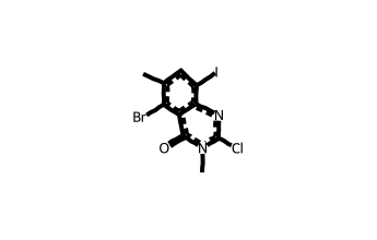 Cc1cc(I)c2nc(Cl)n(C)c(=O)c2c1Br